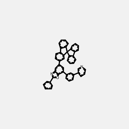 c1ccc(-c2nc3cc(-c4ccc5c(c4)C4(c6ccccc6-c6ccccc64)c4ccccc4-5)cc(-c4cccc(-c5cccnc5)c4)c3o2)cc1